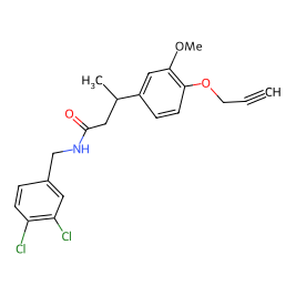 C#CCOc1ccc(C(C)CC(=O)NCc2ccc(Cl)c(Cl)c2)cc1OC